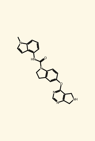 Cn1ccc2c(NC(=O)N3CCc4cc(Oc5ncnc6c5CNC6)ccc43)cccc21